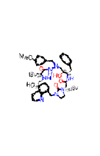 CC[C@H](C)[C@@H](C(=O)N[C@@H](Cc1ccccc1)[C@@H](O)CN(Cc1ccc(OC)cc1)NC(=O)[C@@H](NC(=O)O)C(C)(C)C)N1CCN(Cc2cccc3cccnc23)C1=O